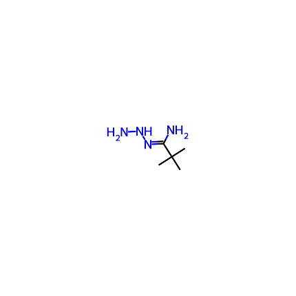 CC(C)(C)/C(N)=N/NN